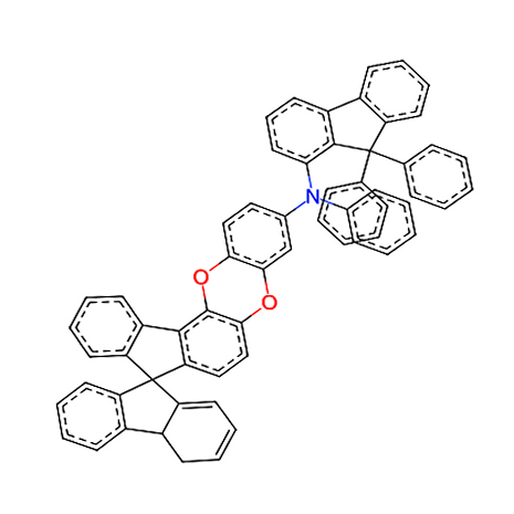 C1=CCC2C(=C1)C1(c3ccccc3-c3c1ccc1c3Oc3ccc(N(c4ccccc4)c4cccc5c4C(c4ccccc4)(c4ccccc4)c4ccccc4-5)cc3O1)c1ccccc12